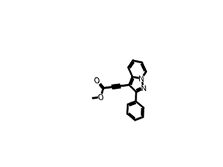 COC(=O)C#Cc1c(-c2ccccc2)nn2ccccc12